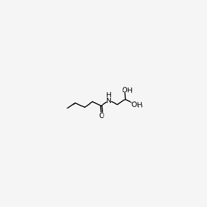 CCCCC(=O)NCC(O)O